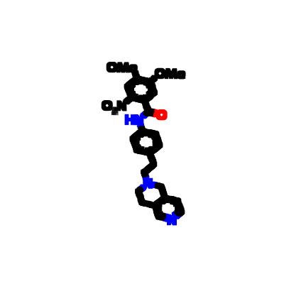 COc1cc(C(=O)Nc2ccc(CCN3CCc4cnccc4C3)cc2)c([N+](=O)[O-])cc1OC